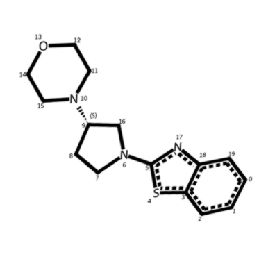 c1ccc2sc(N3CC[C@H](N4CCOCC4)C3)nc2c1